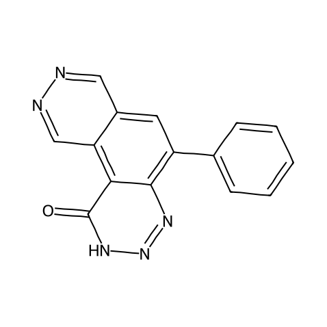 O=c1[nH]nnc2c(-c3ccccc3)cc3cnncc3c12